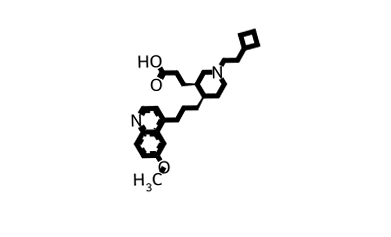 COc1ccc2nccc(CCC[C@@H]3CCN(CCC4CCC4)C[C@@H]3CCC(=O)O)c2c1